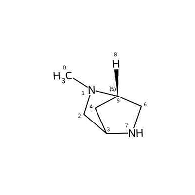 CN1CC2C[C@H]1CN2